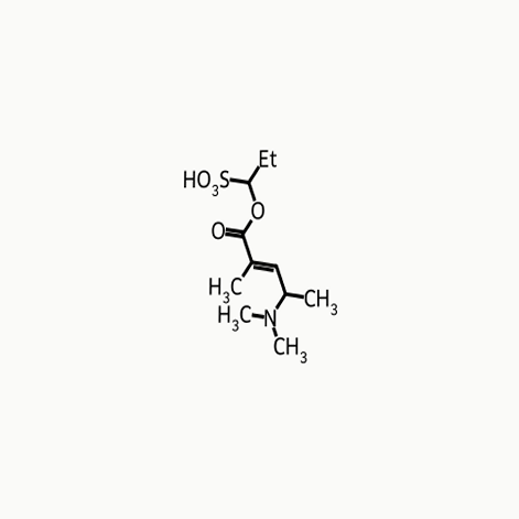 CCC(OC(=O)C(C)=CC(C)N(C)C)S(=O)(=O)O